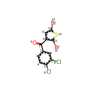 O=C(c1ccc(Cl)c(Cl)c1)c1cc(Br)sc1Br